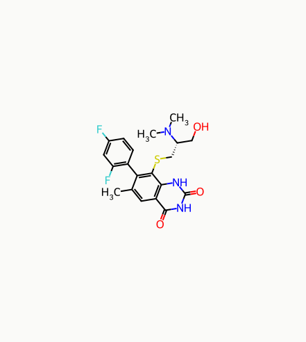 Cc1cc2c(=O)[nH]c(=O)[nH]c2c(SC[C@@H](CO)N(C)C)c1-c1ccc(F)cc1F